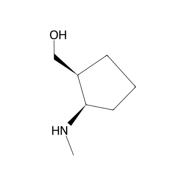 CN[C@@H]1CCC[C@@H]1CO